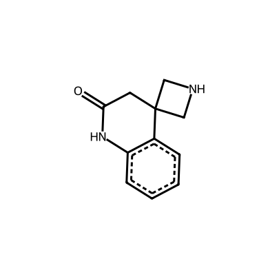 O=C1CC2(CNC2)c2ccccc2N1